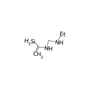 C=C([SiH3])NCNCC